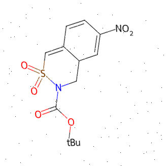 CC(C)(C)OC(=O)N1CC2C=C([N+](=O)[O-])C=CC2=CS1(=O)=O